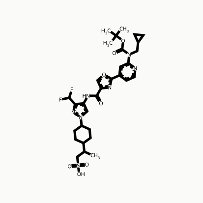 CC(CS(=O)(=O)O)C1CCC(n2cc(NC(=O)c3coc(-c4ccnc(N(CC5CC5)C(=O)OC(C)(C)C)c4)n3)c(C(F)F)n2)CC1